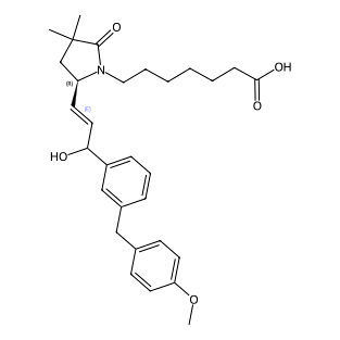 COc1ccc(Cc2cccc(C(O)/C=C/[C@H]3CC(C)(C)C(=O)N3CCCCCCC(=O)O)c2)cc1